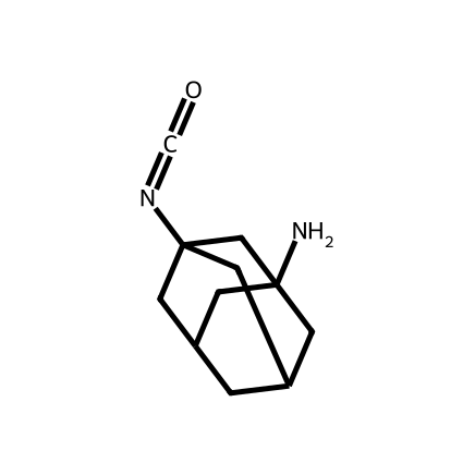 NC12CC3CC(C1)CC(N=C=O)(C3)C2